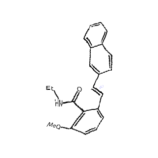 CCNC(=O)c1c(/C=C/c2ccc3ccccc3c2)cccc1OC